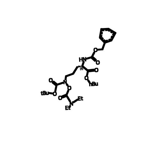 CCCCOC(=O)[C@H](CCCN(OC(=O)N(CC)CC)C(=O)OC(C)(C)C)NC(=O)OCc1ccccc1